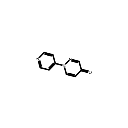 O=c1ccn(-c2ccncc2)nc1